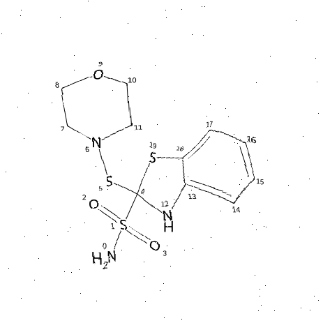 NS(=O)(=O)C1(SN2CCOCC2)Nc2ccccc2S1